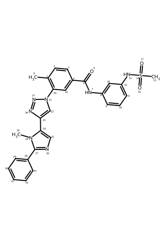 Cc1ccc(C(=O)Nc2cccc(NS(C)(=O)=O)c2)cc1-n1cc(-c2cnc(-c3ccccc3)n2C)nn1